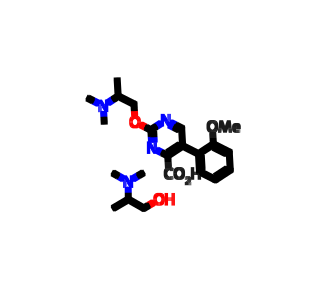 CC(CO)N(C)C.COc1ccccc1-c1cnc(OCC(C)N(C)C)nc1C(=O)O